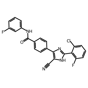 N#Cc1[nH]c(-c2c(F)cccc2Cl)nc1-c1ccc(C(=O)Nc2cccc(F)c2)cc1